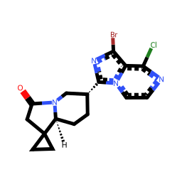 O=C1CC2(CC2)[C@@H]2CC[C@@H](c3nc(Br)c4c(Cl)nccn34)CN12